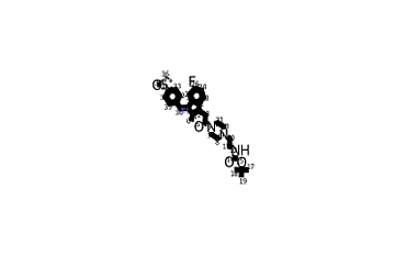 CC1=C(CC(=O)N2CCN(CCNC(=O)OC(C)(C)C)CC2)c2ccc(F)cc2/C1=C\c1ccc([S+](C)[O-])cc1